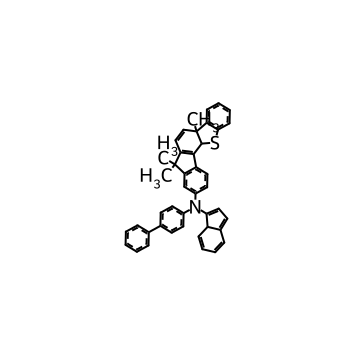 CC1(C)C2=C(c3ccc(N(C4=CC=C5C=CC=CC54)c4ccc(-c5ccccc5)cc4)cc31)C1Sc3ccccc3C1(C)C=C2